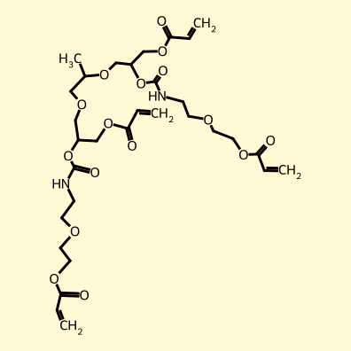 C=CC(=O)OCCOCCNC(=O)OC(COCC(C)OCC(COC(=O)C=C)OC(=O)NCCOCCOC(=O)C=C)COC(=O)C=C